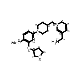 COc1ccc(N2CCC(CN3C=C(CN)C=CC3)CC2)nc1OC1CCOC1